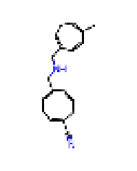 CC1=CCC=C(CNCC2=C/C/C=C(/C#N)C/C=C\2)C=C1